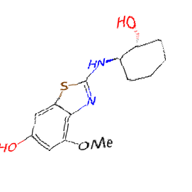 COc1cc(O)cc2sc(N[C@@H]3CCCC[C@H]3O)nc12